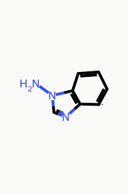 Nn1cnc2[c]cccc21